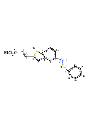 CCOC(=O)/C=C/c1cc2cc(NSc3ccccc3)ccc2s1